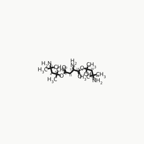 CC(C)(N)CC(C)(C)OC(=O)CC(N)C(=O)OC(C)(C)CC(C)(C)N